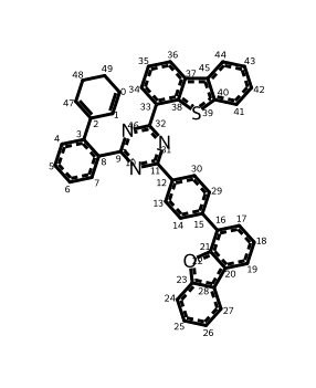 C1=CC(c2ccccc2-c2nc(-c3ccc(-c4cccc5c4oc4ccccc45)cc3)nc(-c3cccc4c3sc3ccccc34)n2)=CCC1